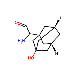 N[C](C=O)C12C[C@@H]3C[C@H](CC(O)(C3)C1)C2